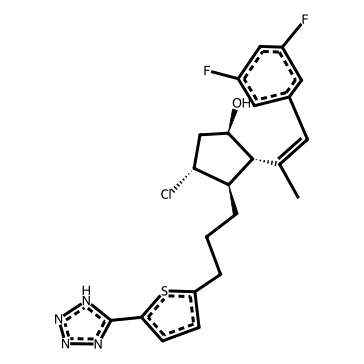 C/C(=C/c1cc(F)cc(F)c1)[C@@H]1[C@@H](CCCc2ccc(-c3nnn[nH]3)s2)[C@H](Cl)C[C@H]1O